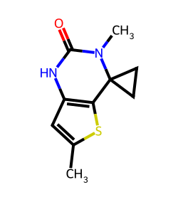 Cc1cc2c(s1)C1(CC1)N(C)C(=O)N2